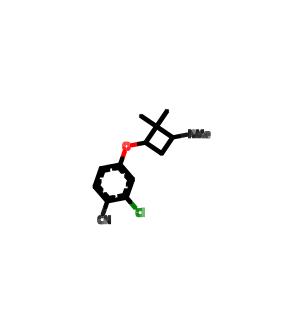 CNC1CC(Oc2ccc(C#N)c(Cl)c2)C1(C)C